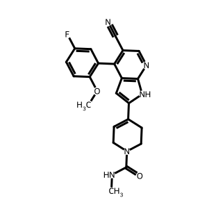 CNC(=O)N1CC=C(c2cc3c(-c4cc(F)ccc4OC)c(C#N)cnc3[nH]2)CC1